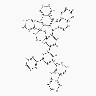 c1ccc(-c2cc(-c3ccc(-n4c5ccc6ccccc6c5c5c6ccccc6c6c(c54)C4(CCCCC4)c4ccccc4-6)cc3)nc(-c3cccc4c3sc3ccccc34)n2)cc1